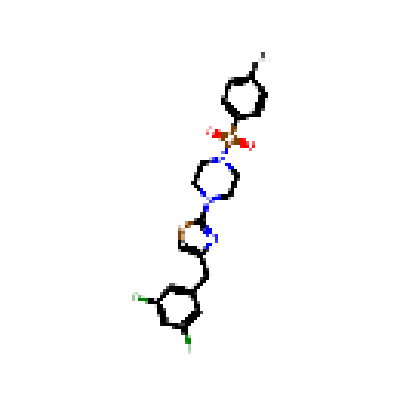 CC(C)(C)c1ccc(S(=O)(=O)N2CCN(c3nc(Cc4cc(F)cc(F)c4)cs3)CC2)cc1